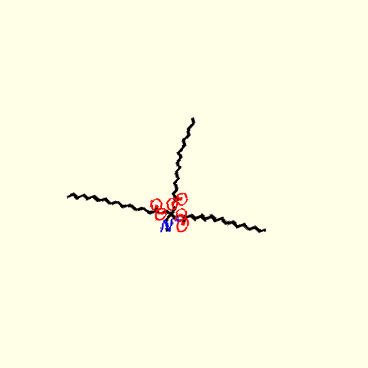 CCCCCCCCCCCCCCCC(=O)OCC(COC(=O)CCCCCCCCCCCCCCC)(COC(=O)CCCCCCCCCCCCCCC)C[N+](C)(C)C